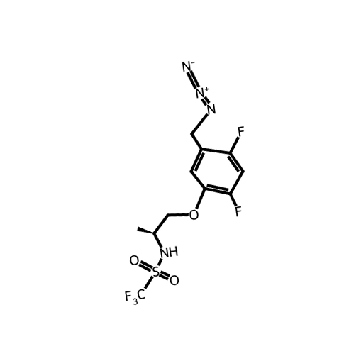 C[C@@H](COc1cc(CN=[N+]=[N-])c(F)cc1F)NS(=O)(=O)C(F)(F)F